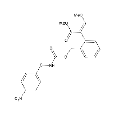 COC=C(C(=O)OC)c1ccccc1COC(=O)NOc1ccc([N+](=O)[O-])cc1